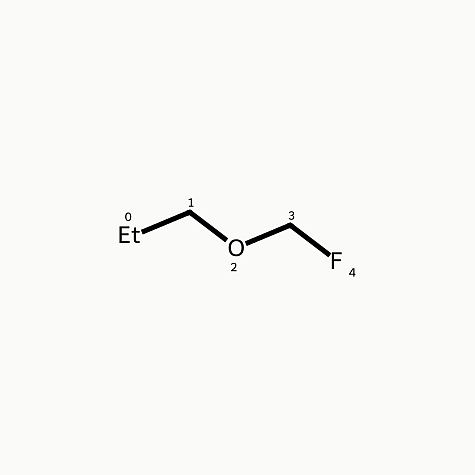 [CH2]CCOCF